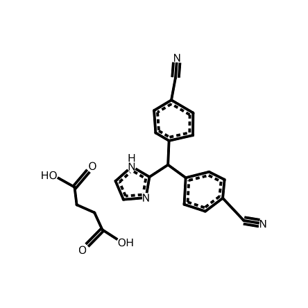 N#Cc1ccc(C(c2ccc(C#N)cc2)c2ncc[nH]2)cc1.O=C(O)CCC(=O)O